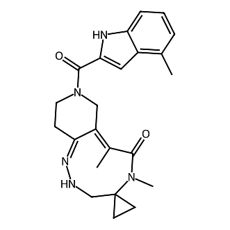 C/C1=C2/CN(C(=O)c3cc4c(C)cccc4[nH]3)CC/C2=N/NCC2(CC2)N(C)C1=O